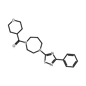 O=C(C1CCOCC1)N1CCCN(c2nc(-c3ccccc3)ns2)CC1